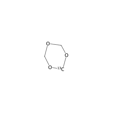 C1OCO[13CH2]O1